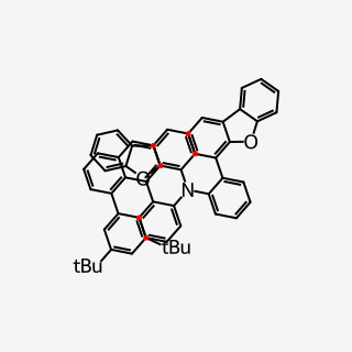 CC(C)(C)c1cc(-c2cccc3cccc(-c4ccccc4N(c4ccccc4-c4cccc5c4oc4ccccc45)c4cccc5c4oc4ccccc45)c23)cc(C(C)(C)C)c1